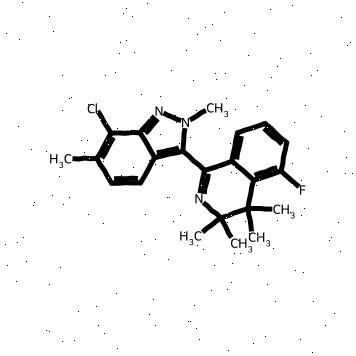 Cc1ccc2c(C3=NC(C)(C)C(C)(C)c4c(F)cccc43)n(C)nc2c1Cl